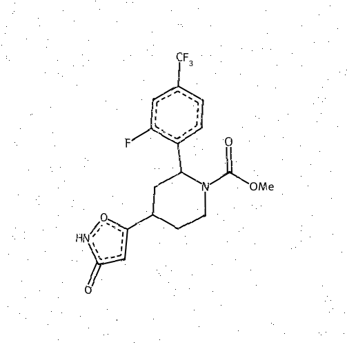 COC(=O)N1CCC(c2cc(=O)[nH]o2)CC1c1ccc(C(F)(F)F)cc1F